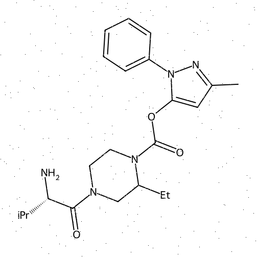 CCC1CN(C(=O)[C@@H](N)C(C)C)CCN1C(=O)Oc1cc(C)nn1-c1ccccc1